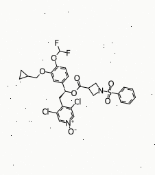 O=C(O[C@@H](Cc1c(Cl)c[n+]([O-])cc1Cl)c1ccc(OC(F)F)c(OCC2CC2)c1)C1CN(S(=O)(=O)c2ccccc2)C1